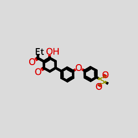 CCC(=O)C1=C(O)CC(c2cccc(Oc3ccc(S(C)(=O)=O)cc3)c2)CC1=O